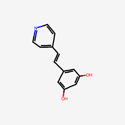 Oc1cc(O)cc(/C=C/c2ccncc2)c1